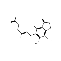 COc1c(C)c2c(c(O)c1C/C=C(\C)CCC(=O)O)C(=O)CC2